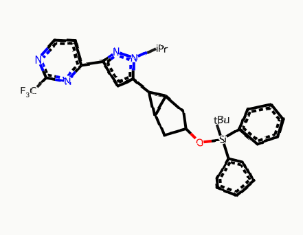 CC(C)n1nc(-c2ccnc(C(F)(F)F)n2)cc1C1C2CC(O[Si](c3ccccc3)(c3ccccc3)C(C)(C)C)CC21